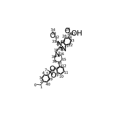 CCc1ccc(C2(C)Oc3cccc(C4CCN(Cc5nc6ccc(C(=O)O)cc6n5CCOC)CC4)c3O2)cc1